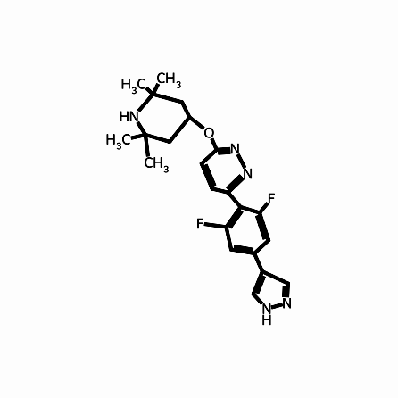 CC1(C)CC(Oc2ccc(-c3c(F)cc(-c4cn[nH]c4)cc3F)nn2)CC(C)(C)N1